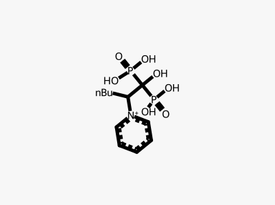 CCCCC([n+]1ccccc1)C(O)(P(=O)(O)O)P(=O)(O)O